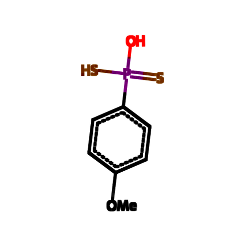 COc1ccc(P(O)(=S)S)cc1